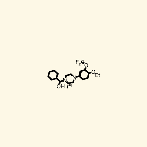 CCOC1CCC(N2CCN(C(O)C3CCCCC3)[C@H](C)C2)=CC1OC(F)(F)F